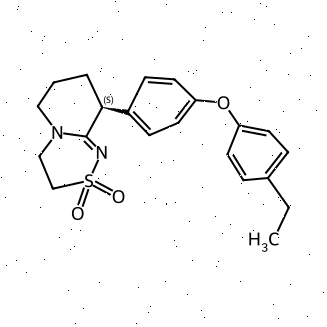 CCc1ccc(Oc2ccc([C@@H]3CCCN4CCS(=O)(=O)N=C34)cc2)cc1